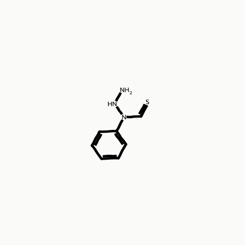 NNN(C=S)c1ccccc1